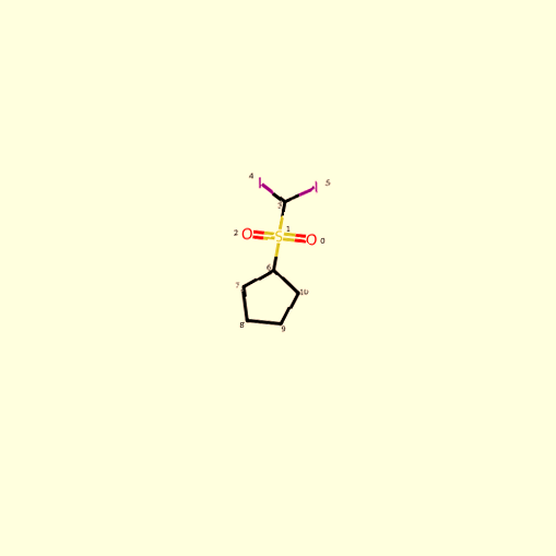 O=S(=O)(C(I)I)C1CCCC1